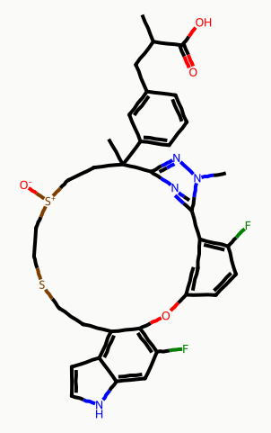 CC(Cc1cccc(C2(C)CC[S+]([O-])CCSCCc3c(c(F)cc4[nH]ccc34)Oc3ccc(F)c(c3)-c3nc2nn3C)c1)C(=O)O